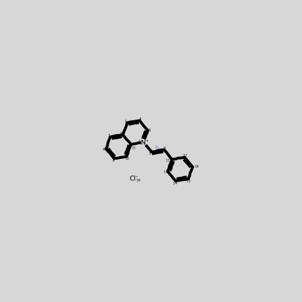 C(=C\[n+]1cccc2ccccc21)/c1ccccc1.[Cl-]